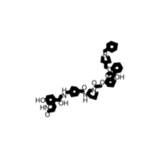 O=C(N[C@@H]1CCCN(C(=O)COc2cccc(C(O)(C(=O)OCC3CCN(Cc4ccccc4)CC3)c3ccccc3)c2)C1)c1ccc(CNC[C@H](O)c2ccc(O)c3[nH]c(=O)ccc23)cc1